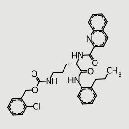 CCCc1ccccc1NC(=O)[C@H](CCCNC(=O)OCc1ccccc1Cl)NC(=O)c1ccc2ccccc2n1